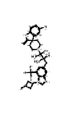 BC(B)(Cc1cc(C(F)(F)F)c2c(c1)ncn2C1CC(C)C1)C(B)(B)N1CCC2(CC1)C(=C)Nc1ccc(Cl)cc12